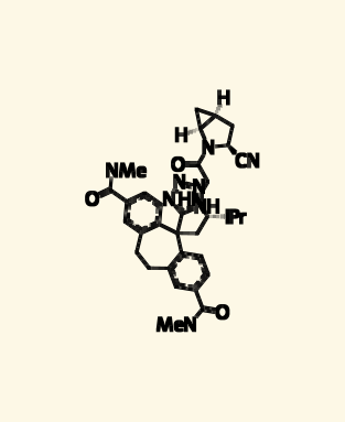 CNC(=O)c1ccc2c(c1)CCc1cc(C(=O)NC)ccc1C2(C[C@H](NCC(=O)N1[C@H](C#N)C[C@@H]2C[C@@H]21)C(C)C)c1nnn[nH]1